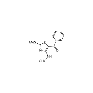 CSc1nc(NC=O)c(C(=O)c2ccccn2)s1